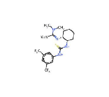 CNC(=N[C@@H]1CCCC[C@H]1NC(=S)Nc1cc(C(F)(F)F)cc(C(F)(F)F)c1)N(C)C